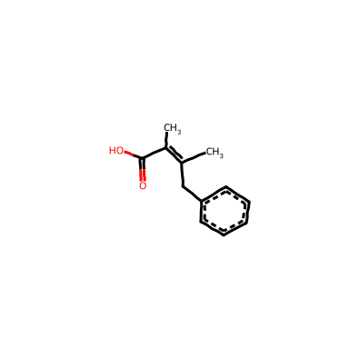 C/C(Cc1ccccc1)=C(\C)C(=O)O